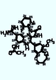 CC(=O)O.COc1cc([C@H](Nc2ccc(C(=N)N)cc2)c2nn(-c3ncccc3F)c(=O)[nH]2)cc2c1OCCCO2